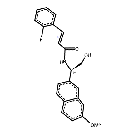 COc1ccc2ccc([C@H](CO)NC(=O)/C=C/c3ccccc3F)cc2c1